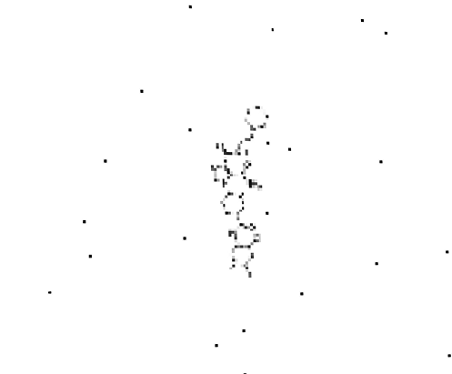 NC(=O)c1c(C(=O)NCCN2CCCCC2)ncn1[C@H]1CC[C@H](C(=O)Nc2cc(F)c(F)cc2Cl)CC1